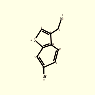 BrCc1csc2cc(Br)ccc12